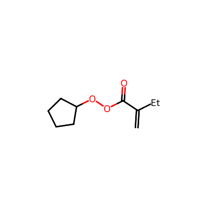 C=C(CC)C(=O)OOC1CCCC1